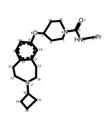 CC(C)NC(=O)N1CCC(Oc2ccc3c(c2)CCN(C2CCC2)CC3)CC1